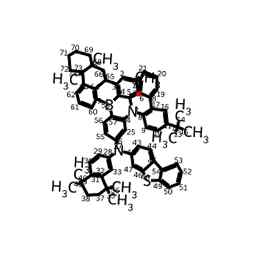 Cc1cc2c3c(c1)N(c1ccc(C(C)(C)C)cc1-c1ccccc1)c1cc(N(c4ccc5c(c4)C(C)(C)CCC5(C)C)c4ccc5c(c4)sc4ccccc45)ccc1B3c1cccc3c1C2CC1(C)CCCCC31C